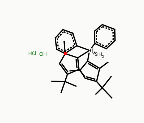 CC1=[C]([Hf](=[SiH2])([C]2=C(C)C(C(C)(C)C)=CC2C)([c]2ccccc2)[c]2ccccc2)C(C)C=C1C(C)(C)C.Cl.Cl